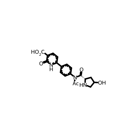 CC(=O)N(C(=O)[C@@H]1CC(O)CN1)c1ccc(-c2ccc(C(=O)O)c(=O)[nH]2)cc1